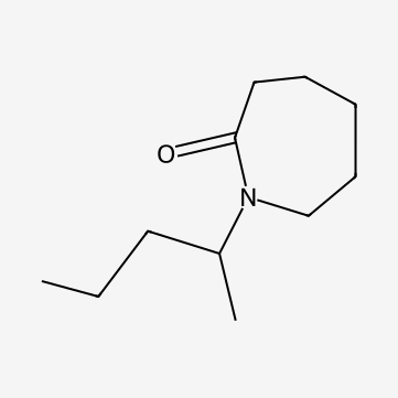 CCCC(C)N1CCCCCC1=O